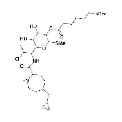 CCCCCCCCCCCCCCCC(=O)OC1C(SC)OC(C(NC(=O)C2CCC(CC3CC3)CCN2)C(C)Cl)C(O)C1O